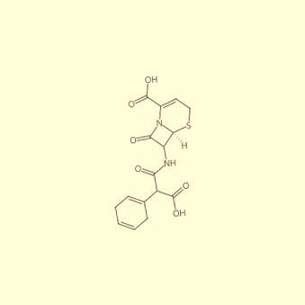 O=C(O)C1=CCS[C@H]2C(NC(=O)C(C(=O)O)C3=CCC=CC3)C(=O)N12